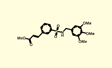 COC(=O)/C=C/c1cccc(S(=O)(=O)NCc2cc(OC)c(OC)c(OC)c2)c1